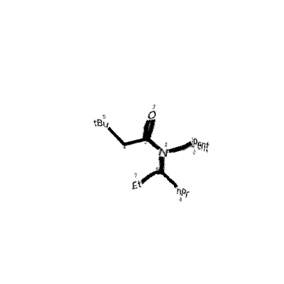 CCCC(C)N(C(=O)CC(C)(C)C)C(CC)CCC